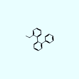 C[CH]c1ccccc1-c1ccccc1-c1ccccc1